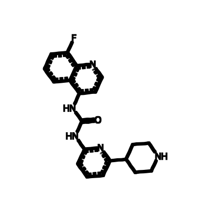 O=C(Nc1cccc(C2CCNCC2)n1)Nc1ccnc2c(F)cccc12